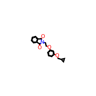 O=C1c2ccccc2C(=O)N1CCOc1cccc(OCC2CC2)c1